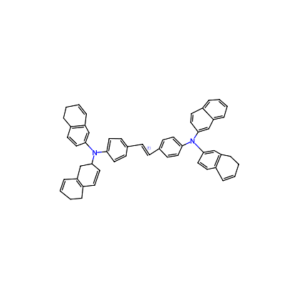 C1=CC2=C(C=CC(N(c3ccc(/C=C/c4ccc(N(c5ccc6c(c5)CCC=C6)c5ccc6ccccc6c5)cc4)cc3)c3ccc4c(c3)C=CCC4)C2)CC1